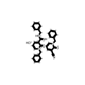 Cl.N#Cc1cccn(Cc2ccccc2)c1=O.N=C(NCc1ccccc1)c1cccn(Cc2ccccc2)c1=O